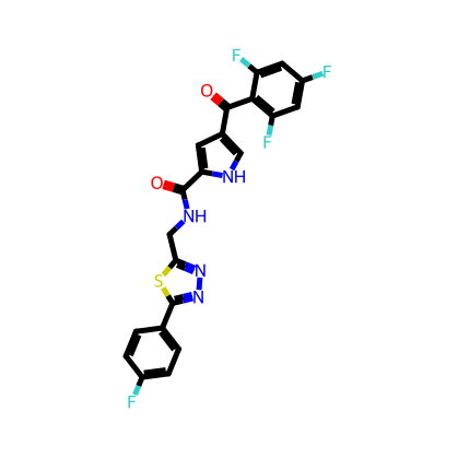 O=C(NCc1nnc(-c2ccc(F)cc2)s1)c1cc(C(=O)c2c(F)cc(F)cc2F)c[nH]1